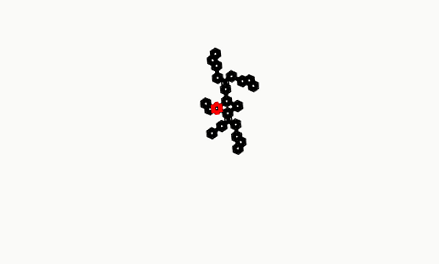 c1ccc(-c2ccc(N(c3cccc(-c4ccc5c(ccc6ccccc65)c4)c3)c3cc(-c4ccc5c(ccc6ccccc65)c4)cc(-c4ccccc4-c4cc(-c5ccccc5)cc(-c5ccc(N(c6cccc(-c7ccc8c(ccc9ccccc98)c7)c6)c6cccc(-c7ccc8c(ccc9ccccc98)c7)c6)cc5)c4)c3)cc2)cc1